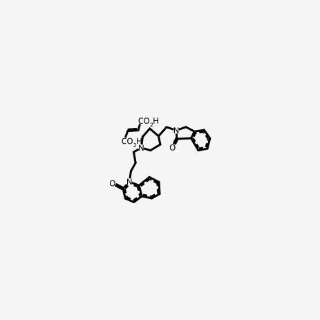 O=C(O)C=CC(=O)O.O=C1c2ccccc2CN1CC1CCN(CCCn2c(=O)ccc3ccccc32)CC1